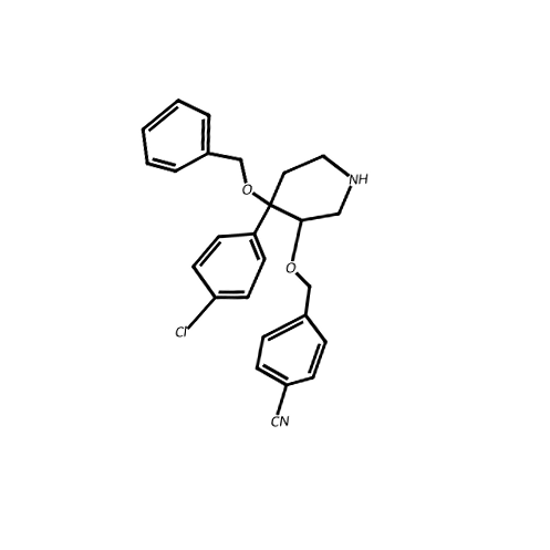 N#Cc1ccc(COC2CNCCC2(OCc2ccccc2)c2ccc(Cl)cc2)cc1